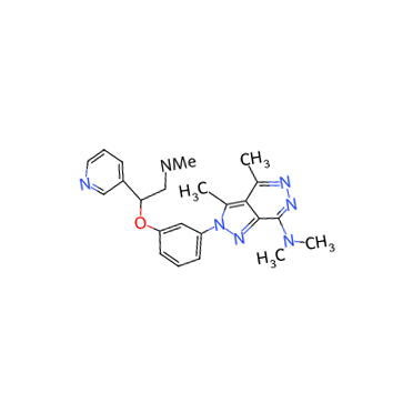 CNCC(Oc1cccc(-n2nc3c(N(C)C)nnc(C)c3c2C)c1)c1cccnc1